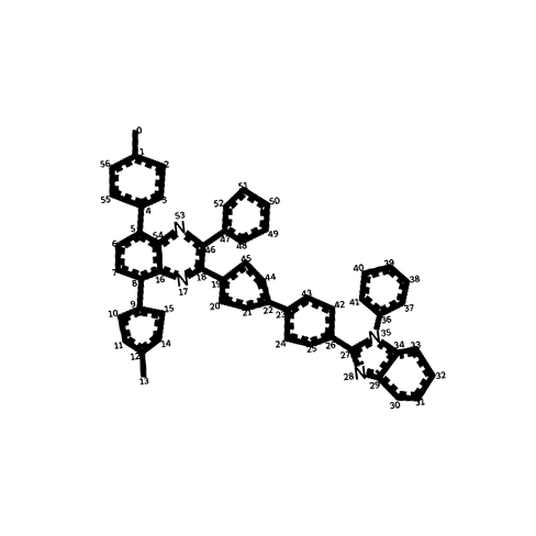 Cc1ccc(-c2ccc(-c3ccc(C)cc3)c3nc(-c4ccc(-c5ccc(-c6nc7ccccc7n6-c6ccccc6)cc5)cc4)c(-c4ccccc4)nc23)cc1